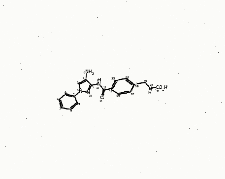 Nc1cn(-c2ccccc2)nc1NC(=O)c1ccc(CNC(=O)O)cc1